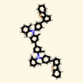 Cc1cc(-c2ccc(N(c3ccc(-c4cccc5c4sc4ccccc45)cc3)c3c(C)cccc3C)c(C)c2)ccc1N(c1ccc(-c2cccc3c2sc2ccccc23)cc1)c1c(C)cccc1C